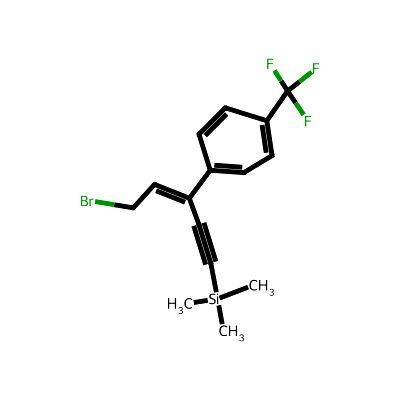 C[Si](C)(C)C#CC(=CCBr)c1ccc(C(F)(F)F)cc1